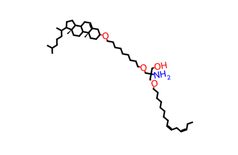 CC/C=C\C/C=C\CCCCCCCCOCC(N)(CO)COCCCCCCCCCO[C@H]1CC[C@@]2(C)C(=CCC3C4CCC(C(C)CCCC(C)C)[C@@]4(C)CCC32)C1